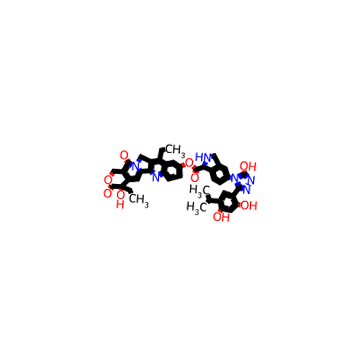 CCc1c2c(nc3ccc(OC(=O)C4NCc5cc(-n6c(O)nnc6-c6cc(C(C)C)c(O)cc6O)ccc54)cc13)-c1cc3c(c(=O)n1C2)COC(=O)C3(O)CC